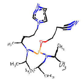 CC(C)N(C(C)C)P(OCCC#N)N(C(C)C)C(C)CCn1ccnc1